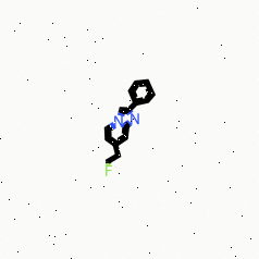 FCCc1ccn2cc(-c3ccccc3)nc2c1